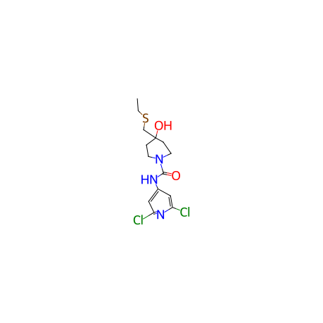 CCSCC1(O)CCN(C(=O)Nc2cc(Cl)nc(Cl)c2)CC1